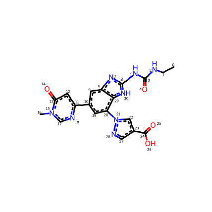 CCNC(=O)Nc1nc2cc(-c3cc(=O)n(C)cn3)cc(-n3cc(C(=O)O)cn3)c2[nH]1